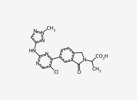 CC(C(=O)O)N1Cc2ccc(-c3nc(Nc4cnn(C)n4)ncc3Cl)cc2C1=O